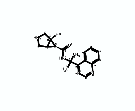 CC(C)(NC(=O)[C@H]1C2CNC[C@@H]21)c1ncnc2ccccc12